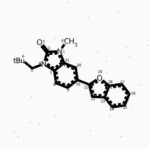 Cn1c(=O)n(CC(C)(C)C)c2ccc(-c3cc4ccccc4o3)cc21